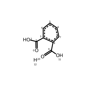 O=C(O)c1ccccc1C(=O)O.[H]